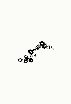 Cc1ccc2c(N3CCN(CCc4cccc(NC[C@H]5CCCN5C(=O)OC(C)(C)C)c4)CC3)cccc2n1